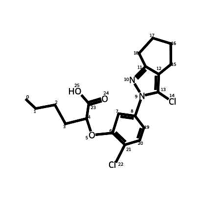 CCCCC(Oc1cc(-n2nc3c(c2Cl)CCCC3)ccc1Cl)C(=O)O